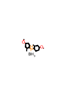 B.COc1ccc(Pc2ccc(OC)cc2C)c(C)c1